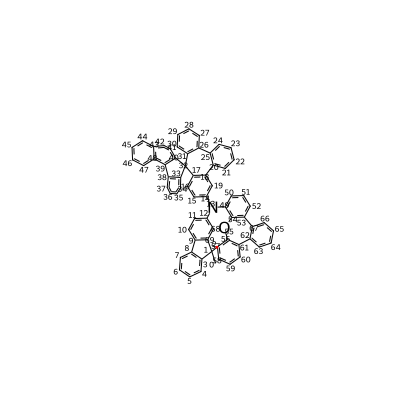 CC1(C)c2ccccc2-c2ccc(N(c3ccc4c(c3)-c3ccccc3-c3ccccc3C43c4ccccc4-c4c3ccc3ccccc43)c3cccc4c3Oc3ccccc3-c3ccccc3-4)cc21